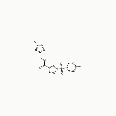 Cc1ccc(S(=O)(=O)n2ccc(C(=O)NCc3nc(C)no3)c2)cc1